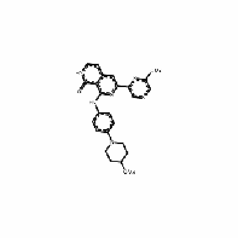 COc1cncc(-c2cc3cc[nH]c(=O)c3c(Nc3ccc(N4CCC(OC)CC4)cc3)n2)n1